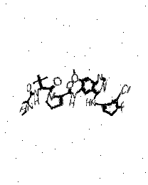 CNC(C)C(=O)NC(C(=O)N1CCCC1C(=O)Nc1cc2c(Nc3ccc(F)c(Cl)c3)ncnc2cc1OC)C(C)(C)C